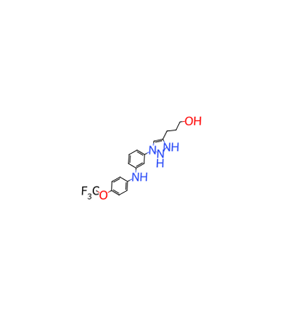 OCCCC1=CN(c2cccc(Nc3ccc(OC(F)(F)F)cc3)c2)NN1